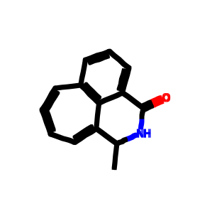 CC1NC(=O)c2cccc3c2C1=CC=C=C3